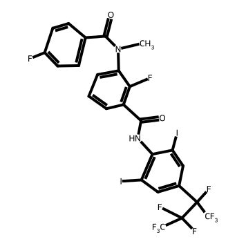 CN(C(=O)c1ccc(F)cc1)c1cccc(C(=O)Nc2c(I)cc(C(F)(C(F)(F)F)C(F)(F)C(F)(F)F)cc2I)c1F